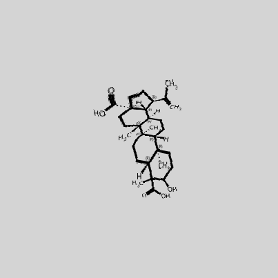 C=C(C)[C@@H]1CC[C@]2(C(=O)O)CC[C@]3(C)[C@H](CC[C@@H]4[C@@]5(C)CCC(O)C(C)(C(=O)O)[C@@H]5CC[C@]43C)[C@@H]12